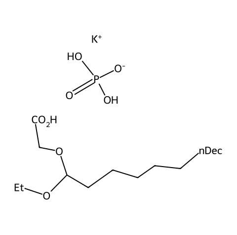 CCCCCCCCCCCCCCCC(OCC)OCC(=O)O.O=P([O-])(O)O.[K+]